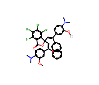 CCOc1cc(C(=CC2(C=C(c3ccccc3)c3ccc(N(C)C)c(OCC)c3)OC(=O)c3c(Br)c(Br)c(Br)c(Br)c32)c2ccccc2)ccc1N(C)C